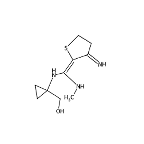 CN/C(NC1(CO)CC1)=C1/SCCC1=N